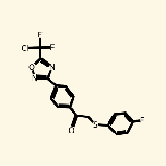 O=C(CSc1ccc(F)cc1)c1ccc(-c2noc(C(F)(F)Cl)n2)cc1